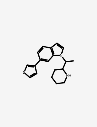 CC(C1CCCCN1)n1ccc2ccc(-c3ccsc3)cc21